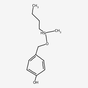 CCCC[SiH](C)OCc1ccc(O)cc1